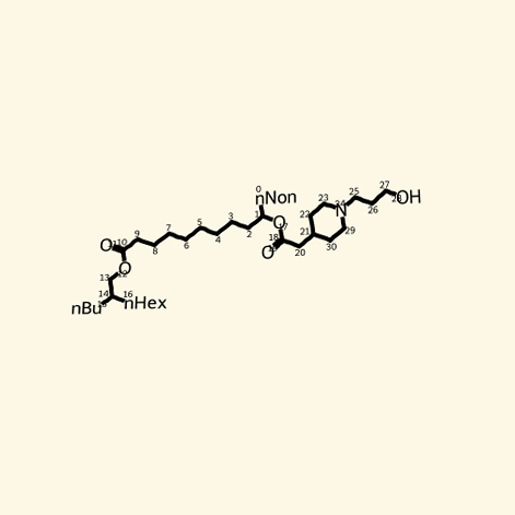 CCCCCCCCCC(CCCCCCCCC(=O)OCC(CCCC)CCCCCC)OC(=O)CC1CCN(CCCO)CC1